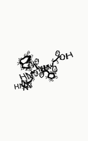 O=C(O)CCC(=O)NC(C(=O)NCC(=O)N1c2ccccc2C[C@H]1C(=O)NCc1nn[nH]n1)C1CCCC1